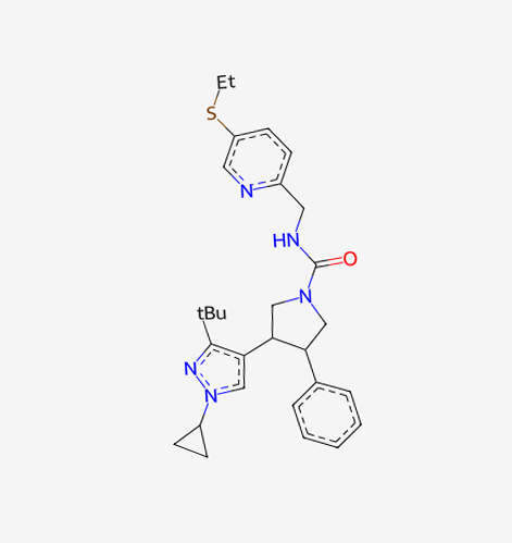 CCSc1ccc(CNC(=O)N2CC(c3ccccc3)C(c3cn(C4CC4)nc3C(C)(C)C)C2)nc1